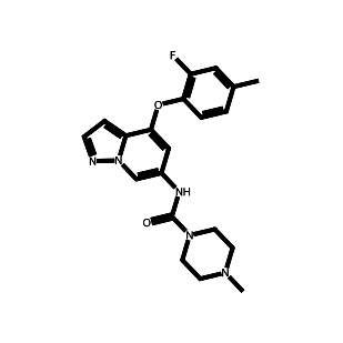 Cc1ccc(Oc2cc(NC(=O)N3CCN(C)CC3)cn3nccc23)c(F)c1